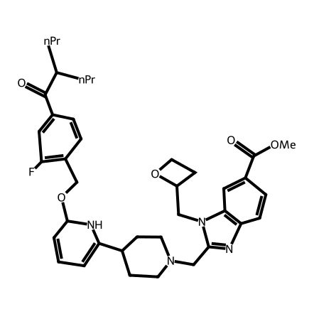 CCCC(CCC)C(=O)c1ccc(COC2C=CC=C(C3CCN(Cc4nc5ccc(C(=O)OC)cc5n4CC4CCO4)CC3)N2)c(F)c1